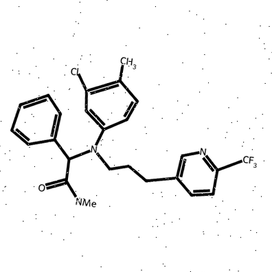 CNC(=O)C(c1ccccc1)N(CCCc1ccc(C(F)(F)F)nc1)c1ccc(C)c(Cl)c1